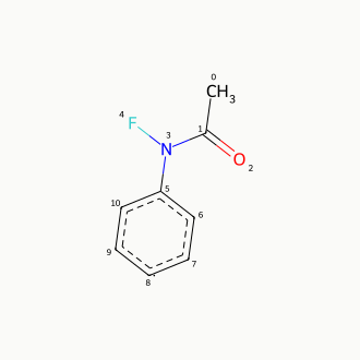 CC(=O)N(F)c1cc[c]cc1